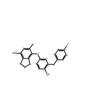 Cc1cc(O)c2c(c1Oc1ccc(O)c(Cc3ccc(F)cc3)c1)CCC2